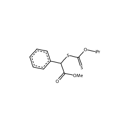 COC(=O)C(SC(=S)OC(C)C)c1ccccc1